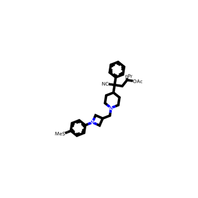 CCCC(CC(C#N)(c1ccccc1)C1CCN(CC2CN(c3ccc(SC)cc3)C2)CC1)OC(C)=O